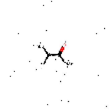 CCCCC(C(=O)OC)C(C)C